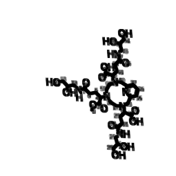 COC(=O)C(CCC(=O)NCC(O)CO)N1CCN(C(CCC(=O)NCC(O)CO)C(=O)O)Cc2cccc(n2)CN(C(CCC(=O)NCC(O)CO)C(=O)O)CC1